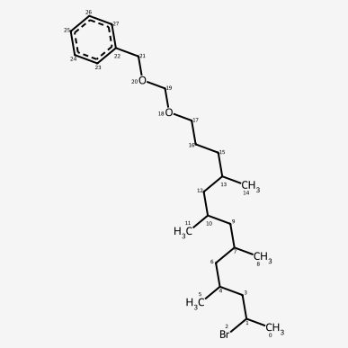 CC(Br)CC(C)CC(C)CC(C)CC(C)CCCOCOCc1ccccc1